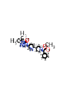 COC(=O)C(c1ccccc1)N1CCC(c2ccc(-n3cnn(C(C)C)c3=O)cn2)CC1